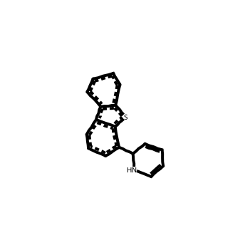 C1=CNC(c2cccc3c2sc2ccccc23)C=C1